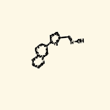 ON=Cc1ccc(-c2ccc3ccccc3c2)o1